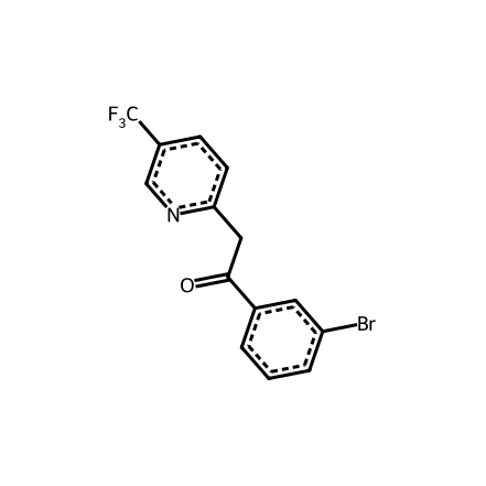 O=C(Cc1ccc(C(F)(F)F)cn1)c1cccc(Br)c1